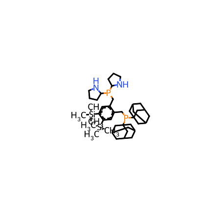 C[Si](C)(C)c1cc(CP(C2CCCN2)C2CCCN2)c(CP(C23CC4CC(CC(C4)C2)C3)C23CC4CC(CC(C4)C2)C3)cc1[Si](C)(C)C